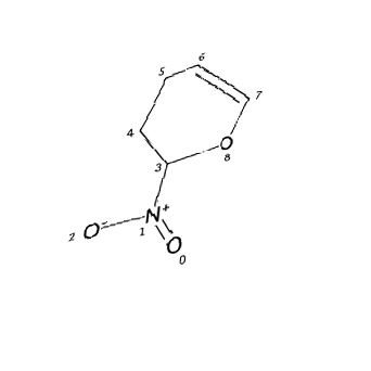 O=[N+]([O-])C1CCC=CO1